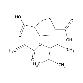 C=CC(=O)OC(CC)C(C)C.O=C(O)C1CCC(C(=O)O)CC1